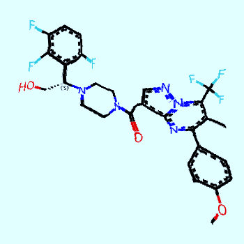 COc1ccc(-c2nc3c(C(=O)N4CCN([C@H](CO)c5c(F)ccc(F)c5F)CC4)cnn3c(C(F)(F)F)c2C)cc1